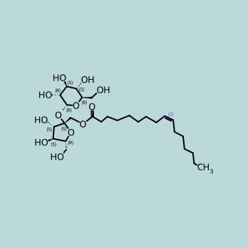 CCCCCC/C=C\CCCCCCCC(=O)OC[C@@]1(O[C@H]2O[C@H](CO)[C@@H](O)[C@H](O)[C@H]2O)O[C@H](CO)[C@@H](O)[C@@H]1O